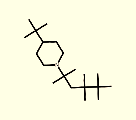 CC(C)(C)C1CCN(C(C)(C)CC(C)(C)C(C)(C)C)CC1